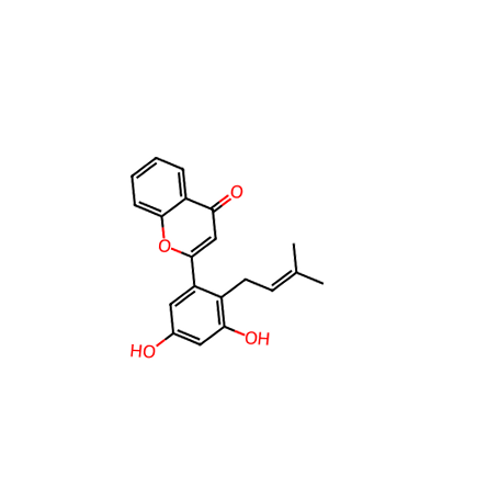 CC(C)=CCc1c(O)cc(O)cc1-c1cc(=O)c2ccccc2o1